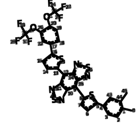 Cc1ccc(-c2ccc(-c3c4c(c(-c5ccc(-c6ccc(OC(F)(F)F)c(OC(F)(F)F)c6)s5)c5nsnc35)N=S=N4)s2)cc1C